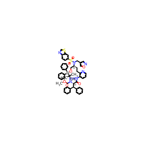 COC(=O)N[C@H](C(=O)Nc1cccnc1CC[C@@H](CO[Si](c1ccccc1)(c1ccccc1)C(C)(C)C)N(Cc1cnoc1)S(=O)(=O)c1ccc2ncsc2c1)C(c1ccccc1)c1ccccc1